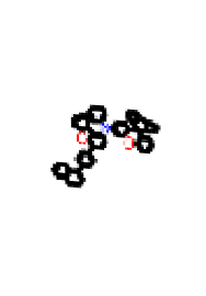 c1ccc(N(c2ccc3c(c2)Oc2ccccc2C32c3ccccc3-c3ccccc32)c2ccc(-c3ccc(-c4cccc5ccccc45)cc3)c3oc4ccccc4c23)cc1